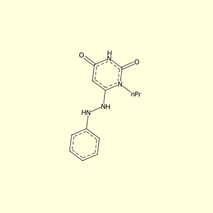 CCCn1c(NNc2ccccc2)cc(=O)[nH]c1=O